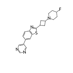 FC1CCN(C2CC(c3nc4ccc(-c5cncnc5)cc4s3)C2)CC1